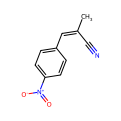 CC(C#N)=Cc1ccc([N+](=O)[O-])cc1